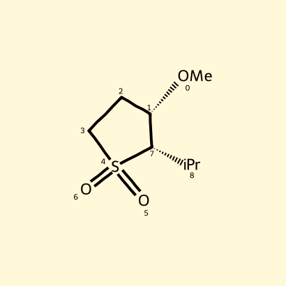 CO[C@H]1CCS(=O)(=O)[C@H]1C(C)C